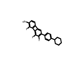 CCCc1ccc2c(c1F)-c1c-2cc(-c2ccc(C3CCCCC3)cc2)c(F)c1F